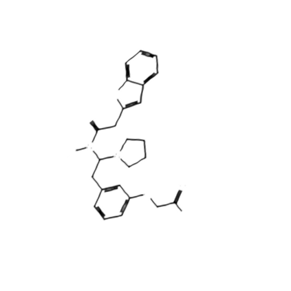 CN(C(=O)Cc1cc2ccccc2o1)C(Cc1cccc(OCC(=O)O)c1)N1CCCC1